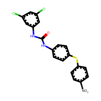 O=C(Nc1ccc(Sc2ccc([N+](=O)[O-])cc2)cc1)Nc1cc(Cl)cc(Cl)c1